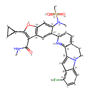 CNC(=O)c1c(C2CC2)oc2cc(N(C)S(C)(=O)=O)c(-c3ccc4c(n3)-c3cc5c(F)cccc5n3CC4)cc12